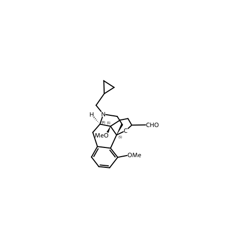 COc1cccc2c1[C@]13CCN(CC4CC4)[C@H](C2)[C@]1(OC)CCC(C=O)C3